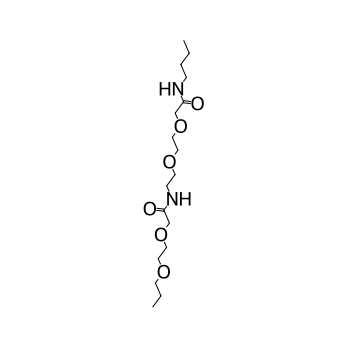 CCCCNC(=O)COCCOCCNC(=O)COCCOCCC